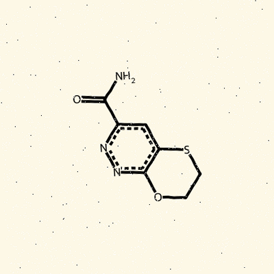 NC(=O)c1cc2c(nn1)OCCS2